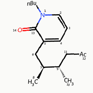 CCCCn1cccc(C[C@H](C)[C@@H](C)CC(C)=O)c1=O